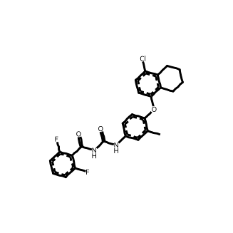 Cc1cc(NC(=O)NC(=O)c2c(F)cccc2F)ccc1Oc1ccc(Cl)c2c1CCCC2